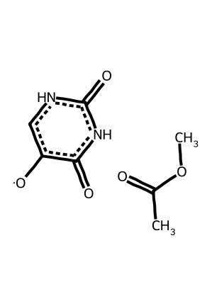 COC(C)=O.[O]c1c[nH]c(=O)[nH]c1=O